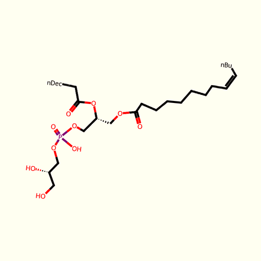 CCCC/C=C\CCCCCCCC(=O)OC[C@H](COP(=O)(O)OC[C@@H](O)CO)OC(=O)CCCCCCCCCCC